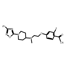 CC(C)c1noc(N2CCC(N(C)CCOc3ccc(C(=O)C#N)c(F)c3)CC2)n1